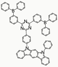 c1ccc(B(c2ccccc2)c2cccc(-c3nc(-c4ccc(-n5c6ccccc6c6cc7c8ccccc8n(-c8ccccc8)c7cc65)cc4)nc(-c4cccc(B(c5ccccc5)c5ccccc5)c4)n3)c2)cc1